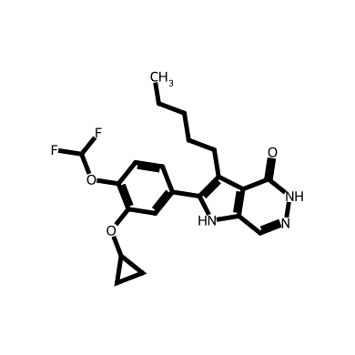 CCCCCc1c(-c2ccc(OC(F)F)c(OC3CC3)c2)[nH]c2cn[nH]c(=O)c12